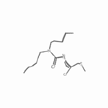 CCCCN(CCCC)C(=O)N=C(Cl)SC